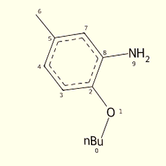 CCCCOc1ccc(C)cc1N